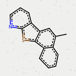 Cc1cc2c3cccnc3sc2c2ccccc12